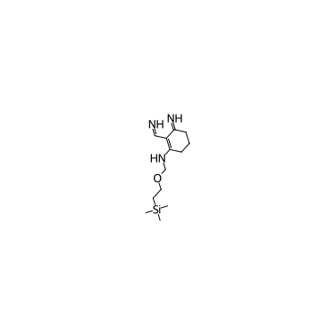 C[Si](C)(C)CCOCNC1=C(C=N)C(=N)CCC1